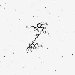 C=NC(=C)/C(=N\NCC)SCCCNCCC(C)Nc1cc(C(=C)CC)ccc1C